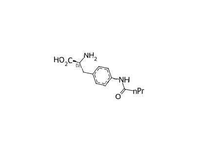 CCCC(=O)Nc1ccc(C[C@H](N)C(=O)O)cc1